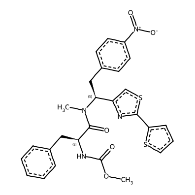 COC(=O)N[C@@H](Cc1ccccc1)C(=O)N(C)[C@@H](Cc1ccc([N+](=O)[O-])cc1)c1csc(-c2cccs2)n1